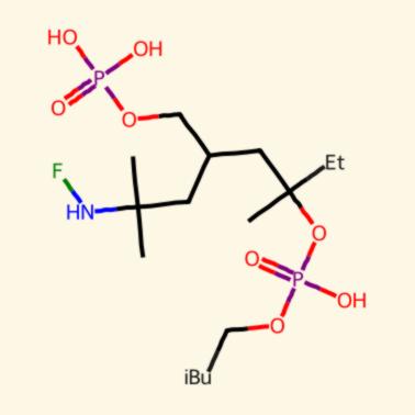 CCC(C)COP(=O)(O)OC(C)(CC)CC(COP(=O)(O)O)CC(C)(C)NF